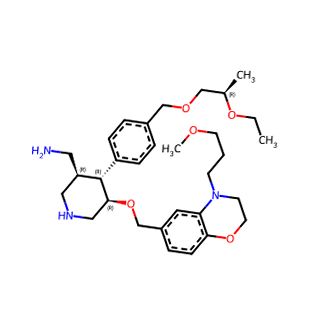 CCO[C@H](C)COCc1ccc([C@H]2[C@H](CN)CNC[C@@H]2OCc2ccc3c(c2)N(CCCOC)CCO3)cc1